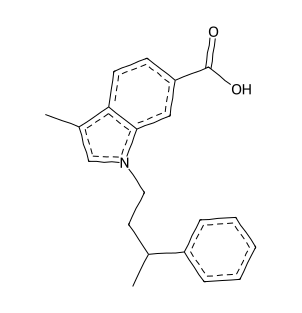 Cc1cn(CCC(C)c2ccccc2)c2cc(C(=O)O)ccc12